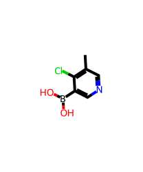 Cc1cncc(B(O)O)c1Cl